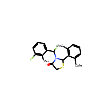 COc1cccc(OC)c1C1SCC(=O)N1C(F)c1cccc(F)c1OC